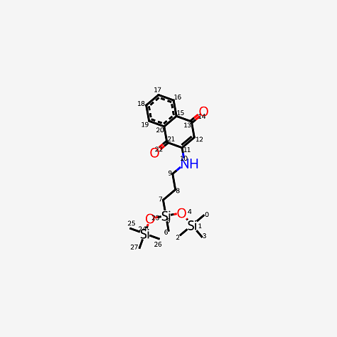 C[Si](C)(C)O[Si](C)(CCCNC1=CC(=O)c2ccccc2C1=O)O[Si](C)(C)C